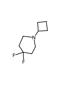 FC1(F)CCN(C2C[CH]C2)CC1